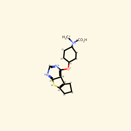 CN(C(=O)O)C1CCC(Oc2ncnc3sc4c(c23)CCC4)CC1